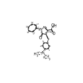 CN(C)c1ccc(C=C2C(=O)N(c3ccccc3)N=C2C(=O)O)cc1